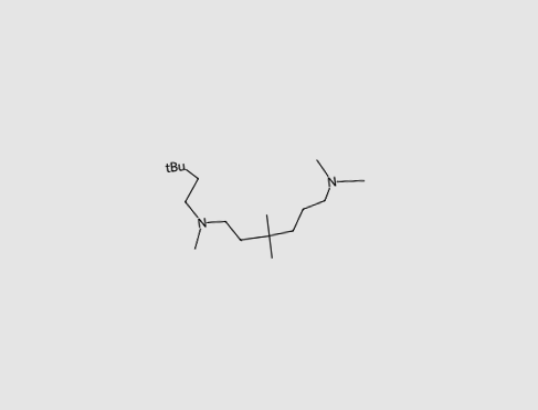 CN(C)CCCC(C)(C)CCN(C)CCC(C)(C)C